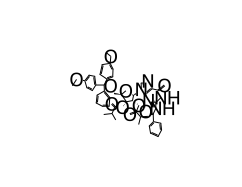 COc1ccc(C(OC[C@H]2O[C@@H](n3cnc4c(=O)[nH]c(NC(=O)c5ccccc5)nc43)[C@H](OC(=O)C(C)C)[C@@H]2OC(=O)C(C)C)(c2ccccc2)c2ccc(OC)cc2)cc1